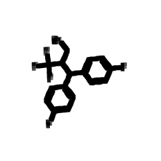 Fc1ccc(C(c2ccc(F)cc2)C(CBr)C(F)(F)F)cc1